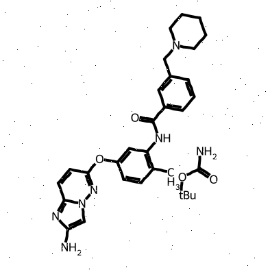 CC(C)(C)OC(N)=O.Cc1ccc(Oc2ccc3nc(N)cn3n2)cc1NC(=O)c1cccc(CN2CCCCC2)c1